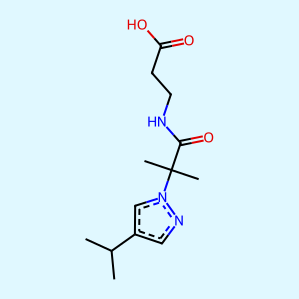 CC(C)c1cnn(C(C)(C)C(=O)NCCC(=O)O)c1